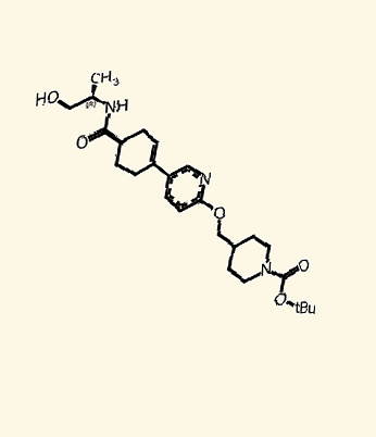 C[C@H](CO)NC(=O)C1CC=C(c2ccc(OCC3CCN(C(=O)OC(C)(C)C)CC3)nc2)CC1